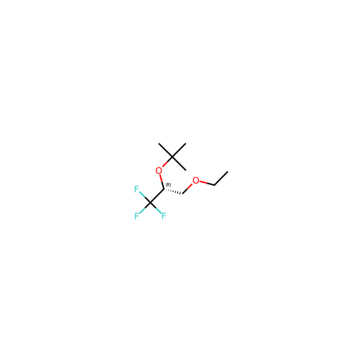 CCOC[C@@H](OC(C)(C)C)C(F)(F)F